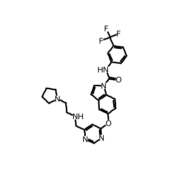 O=C(Nc1cccc(C(F)(F)F)c1)n1ccc2cc(Oc3cc(CNCCN4CCCC4)ncn3)ccc21